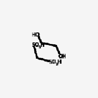 O=S(=O)(O)CS(=O)(=O)O.OCCO